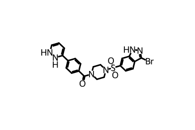 O=C(c1ccc(C2=CC=CNN2)cc1)N1CCN(S(=O)(=O)c2ccc3c(Br)n[nH]c3c2)CC1